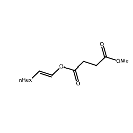 CCCCCCC=COC(=O)CCC(=O)OC